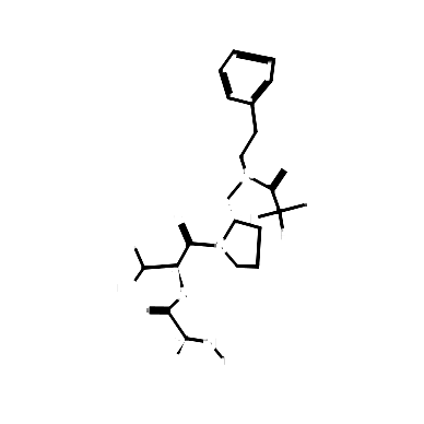 CC(C)[C@H](NC(=O)[C@H](C)NI)C(=O)N1CCC[C@H]1CN(CCc1ccccc1)C(=O)C(F)(F)F